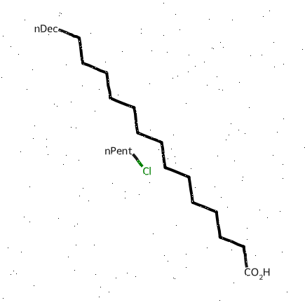 CCCCCCCCCCCCCCCCCCCCCCCC(=O)O.CCCCCCl